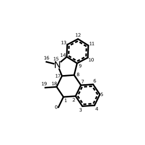 CC1c2ccccc2C2c3ccccc3N(C)C2C1C